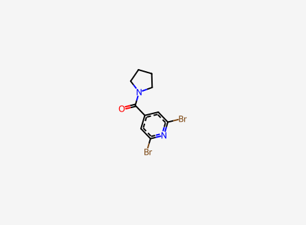 O=C(c1cc(Br)nc(Br)c1)N1CCCC1